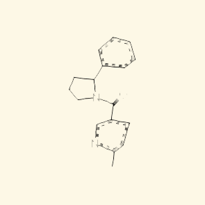 Cc1ccc(C(=O)N2CCCC2c2ccccc2)cn1